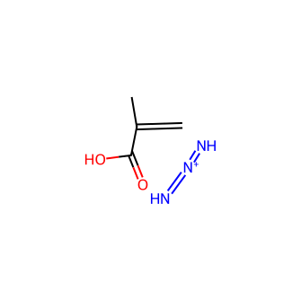 C=C(C)C(=O)O.N=[N+]=N